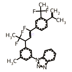 C=C(C)c1ccc(/C(F)=C/C(c2cc(C)cc(-n3nnc4ccccc43)c2)C(C)(F)F)cc1C(C)(F)F